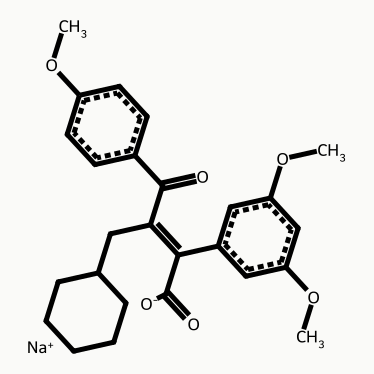 COc1ccc(C(=O)/C(CC2CCCCC2)=C(/C(=O)[O-])c2cc(OC)cc(OC)c2)cc1.[Na+]